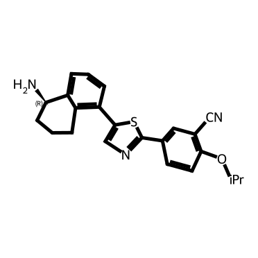 CC(C)Oc1ccc(-c2ncc(-c3cccc4c3CCC[C@H]4N)s2)cc1C#N